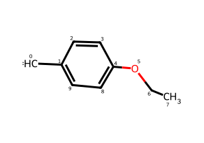 [CH]c1ccc(OCC)cc1